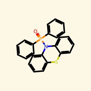 O=P(c1ccccc1)(c1ccccc1)N1c2ccccc2Sc2ccccc21